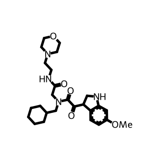 COc1ccc2c(c1)NCC2C(=O)C(=O)N(CC(=O)NCCN1CCOCC1)CC1CCCCC1